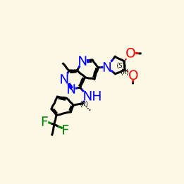 CO[C@H]1CN(c2cnc3c(C)nnc(N[C@H](C)c4cccc(C(C)(F)F)c4)c3c2)C[C@H]1OC